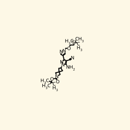 CC(C)(C)OC(=O)N1CC2(CC(n3nc(-c4cnn(COCC[Si](C)(C)C)c4)c(C#N)c3N)C2)C1